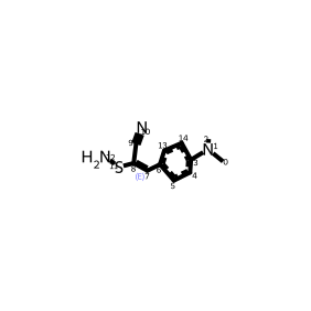 CN(C)c1ccc(/C=C(\C#N)SN)cc1